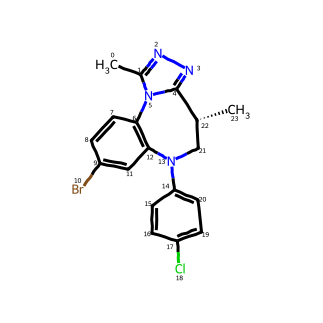 Cc1nnc2n1-c1ccc(Br)cc1N(c1ccc(Cl)cc1)C[C@H]2C